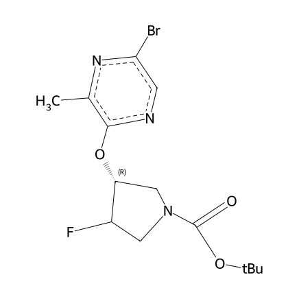 Cc1nc(Br)cnc1O[C@@H]1CN(C(=O)OC(C)(C)C)CC1F